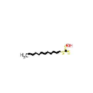 CCCCCCCCCCCCSC(=S)SO